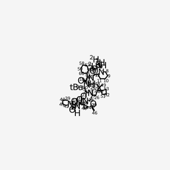 [2H]C([2H])([2H])C([2H])([2H])N1CCCC[C@H]1C(=O)NC(C(=O)N[C@H](C(=O)N1C[C@]2(C[C@H]1C(=O)N[C@]1(C(=O)NS(=O)(=O)N3CCCC3)C[C@H]1C=C)C(C)(C)C21CCC1)C(C)(C)C)C1CCCCC1